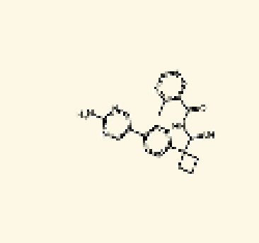 Cc1ncccc1C(=O)NC(=N)C1(c2ccc(-c3cnc(N)nc3)cc2)CCC1